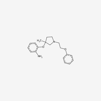 CC1(Oc2ccccc2N)CCN(CCOc2ccccc2)C1